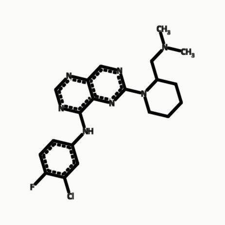 CN(C)CC1CCCCN1c1ncc2ncnc(Nc3ccc(F)c(Cl)c3)c2n1